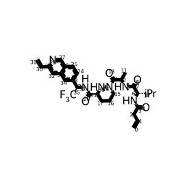 C=CCC(=O)N[C@H](C(=O)NC(C)C(=O)N1CCC[C@@H](C(=O)N[C@@H](c2ccc3cnc(C=C)cc3c2)C(F)(F)F)N1)C(C)C